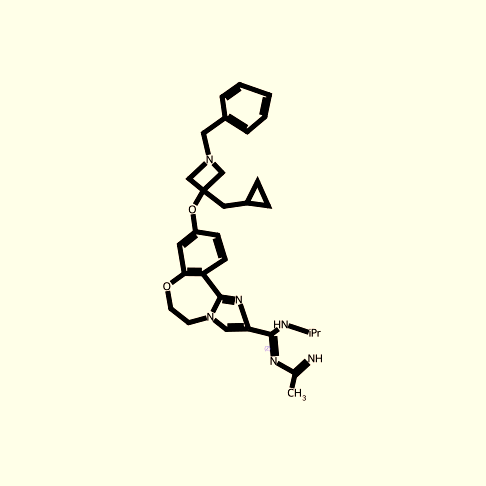 CC(=N)/N=C(\NC(C)C)c1cn2c(n1)-c1ccc(OC3(CC4CC4)CN(Cc4ccccc4)C3)cc1OCC2